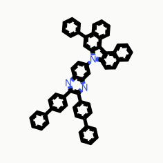 c1ccc(-c2ccc(-c3nc4ccc(-n5c6ccc7ccccc7c6c6c7ccccc7c(-c7ccccc7)cc65)cc4nc3-c3ccc(-c4ccccc4)cc3)cc2)cc1